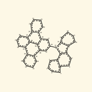 c1ccc2c(c1)ccc1c3ccccc3n(-c3cc4c5ccccc5c5cccc6c7ccccc7c(c3)c4c56)c21